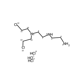 Cl.Cl.Cl.NCCNCCN(CCCl)CCCl